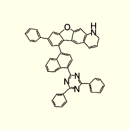 C1=Cc2cc3c(cc2NC1)oc1cc(-c2ccccc2)cc(-c2ccc(-c4nc(-c5ccccc5)nc(-c5ccccc5)n4)c4ccccc24)c13